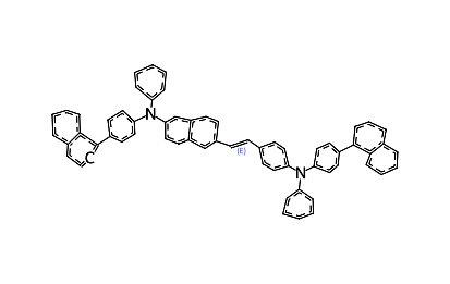 C(=C\c1ccc2cc(N(c3ccccc3)c3ccc(-c4cccc5ccccc45)cc3)ccc2c1)/c1ccc(N(c2ccccc2)c2ccc(-c3cccc4ccccc34)cc2)cc1